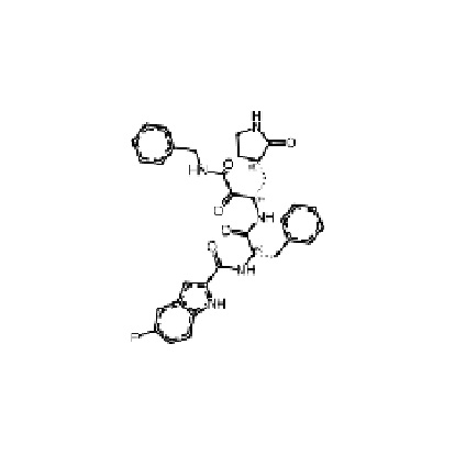 O=C(NCc1ccccc1)C(=O)[C@H](C[C@@H]1CCNC1=O)NC(=O)[C@H](Cc1ccccc1)NC(=O)c1cc2cc(F)ccc2[nH]1